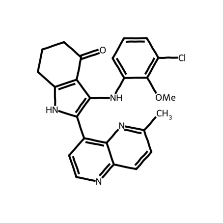 COc1c(Cl)cccc1Nc1c(-c2ccnc3ccc(C)nc23)[nH]c2c1C(=O)CCC2